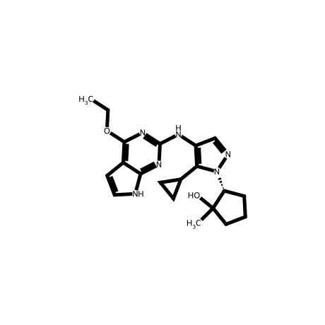 CCOc1nc(Nc2cnn([C@@H]3CCCC3(C)O)c2C2CC2)nc2[nH]ccc12